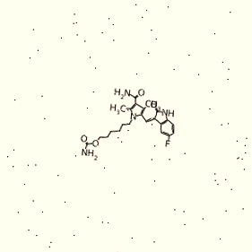 Cc1c(C(N)=O)c(C)n(CCCCCCOC(N)=O)c1/C=C1\C(=O)Nc2ccc(F)cc21